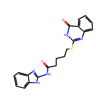 O=C(CCCCSc1nc2ccccc2c(=O)[nH]1)Nc1nc2ccccc2[nH]1